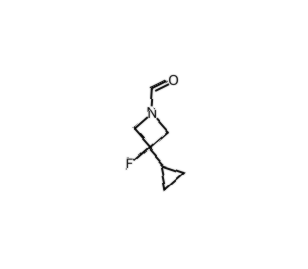 O=CN1CC(F)(C2CC2)C1